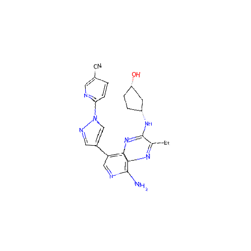 CCc1nc2c(N)ncc(-c3cnn(-c4ccc(C#N)cn4)c3)c2nc1N[C@@H]1CC[C@H](O)C1